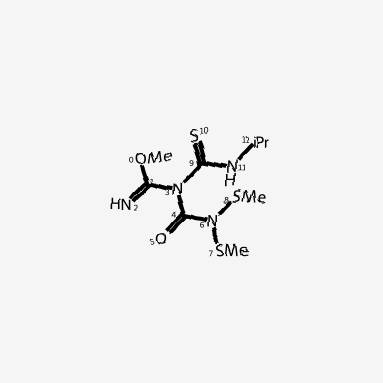 COC(=N)N(C(=O)N(SC)SC)C(=S)NC(C)C